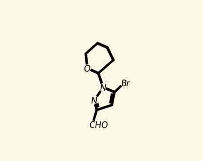 O=Cc1cc(Br)n(C2CCCCO2)n1